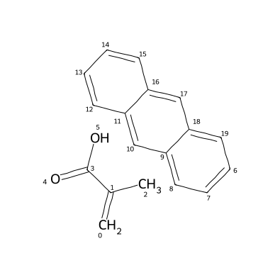 C=C(C)C(=O)O.c1ccc2cc3ccccc3cc2c1